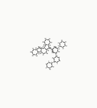 c1ccc(-c2cccc(-c3cc(-c4ccccc4)nc(-n4c5ccccc5c5c6sc7ccccc7c6ccc54)n3)c2)cc1